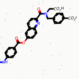 N=C(N)Nc1ccc(C(=O)Oc2ccc3nc(C(=O)N(CC(=O)O)Cc4ccc(C(=O)O)cc4)ccc3c2)cc1